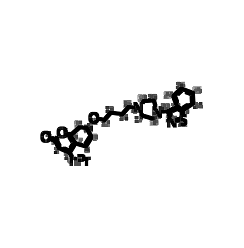 CCCc1cc(=O)oc2c1C=C[C@@H](OCCCCN1CCN(c3nsc4ccccc34)CC1)C2